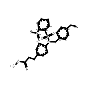 COC(=O)CCc1ccc(N(Cc2ccc(CCl)cc2)S(=O)(=O)c2ccccc2[N+](=O)[O-])cc1